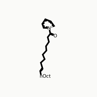 CCCCCCCCC=CCCCCCCCC(=O)[n+]1ccccc1